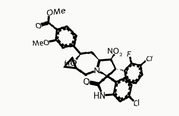 COC(=O)c1ccc([C@H](O)C[C@H]2[C@@H]([N+](=O)[O-])[C@H](c3cccc(Cl)c3F)[C@]3(C(=O)Nc4cc(Cl)ccc43)N2CC2CC2)cc1OC